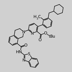 Cc1c(CC2CCCCC2)cccc1-c1ccc(N2CCc3cccc(C(=O)Nc4nc5ccccc5s4)c3C2)nc1C(=O)OC(C)(C)C